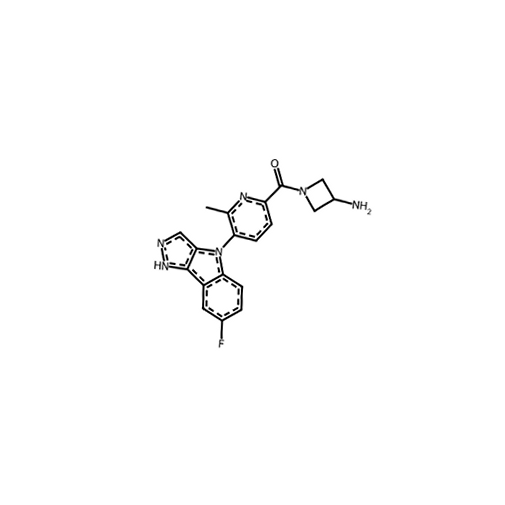 Cc1nc(C(=O)N2CC(N)C2)ccc1-n1c2ccc(F)cc2c2[nH]ncc21